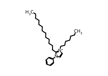 CCCCCCCCCCCCCc1n(-c2ccccc2)cc[n+]1CCCCCCC